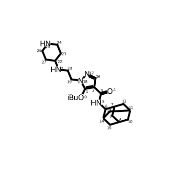 CC(C)COc1c(C(=O)NC2C3CC4CC(C3)CC2C4)cnn1CCNC1CCNCC1